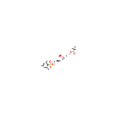 Cc1cc(C)c(S(=O)(=O)OCC#CCC(O)CCCOC(=O)C(C)(C)C)c(C)c1